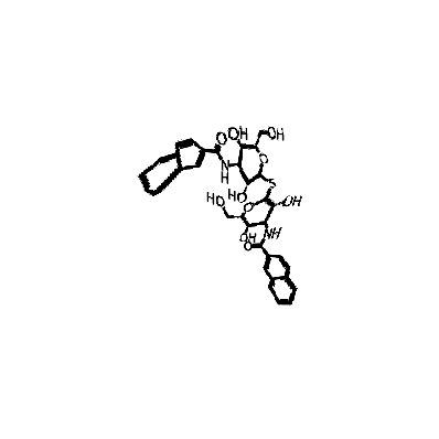 O=C(N[C@H]1[C@@H](O)[C@@H](CO)OC(SC2O[C@H](CO)[C@H](O)[C@H](NC(=O)c3ccc4ccccc4c3)[C@H]2O)[C@@H]1O)c1ccc2ccccc2c1